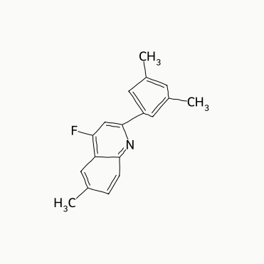 Cc1cc(C)cc(-c2cc(F)c3cc(C)ccc3n2)c1